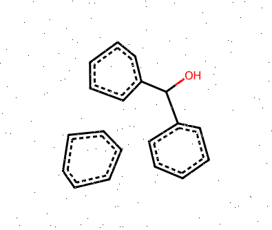 OC(c1ccccc1)c1ccccc1.c1ccccc1